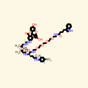 CC(C)(CNC(=S)Nc1ccc2c(c1)C(=O)OC21c2ccc(O)cc2Oc2cc(O)ccc21)OC(C)(C)CC(=O)N[C@H](CCCCNc1cc(F)c([N+](=O)[O-])cc1[N+](=O)[O-])C(=O)NCCOCCOCCOCCOCCNC(=O)CCCc1c[nH]c2ccccc12